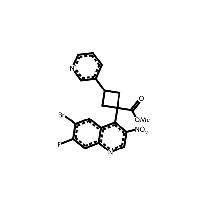 COC(=O)C1(c2c([N+](=O)[O-])cnc3cc(F)c(Br)cc23)CC(c2cccnc2)C1